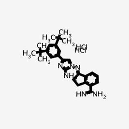 CC(C)(C)c1cc(-c2cn(N=C3CCc4c(C(=N)N)cccc43)c(N)n2)cc(C(C)(C)C)c1.Cl.Cl